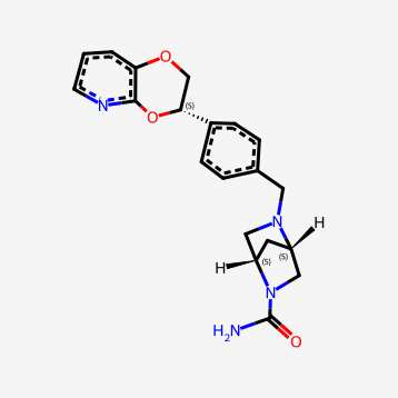 NC(=O)N1C[C@@H]2C[C@H]1CN2Cc1ccc([C@H]2COc3cccnc3O2)cc1